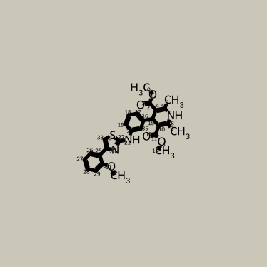 COC(=O)C1=C(C)NC(C)=C(C(=O)OC)C1c1cccc(Nc2nc(-c3ccccc3OC)cs2)c1